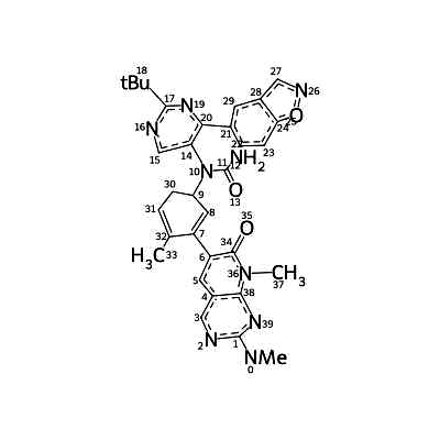 CNc1ncc2cc(C3=CC(N(C(N)=O)c4cnc(C(C)(C)C)nc4-c4ccc5oncc5c4)CC=C3C)c(=O)n(C)c2n1